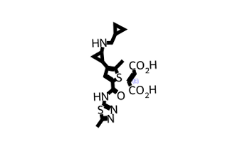 Cc1nnc(NC(=O)c2cc(C3CC3NCC3CC3)c(C)s2)s1.O=C(O)/C=C/C(=O)O